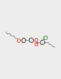 CCCCCCCOc1ccc(-c2ccc(OC(=O)c3ccc(CCCCC)c(Cl)c3)cc2)cc1